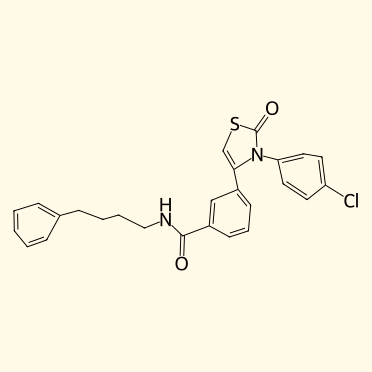 O=C(NCCCCc1ccccc1)c1cccc(-c2csc(=O)n2-c2ccc(Cl)cc2)c1